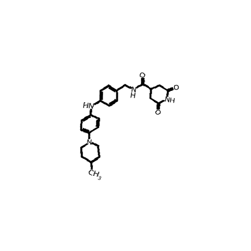 CC1CCN(c2ccc(Nc3ccc(CNC(=O)C4CC(=O)NC(=O)C4)cc3)cc2)CC1